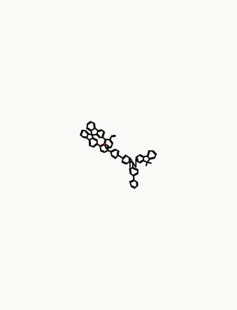 C=Cc1ccccc1-c1ccc2c(c1)C1(c3ccccc3-c3ccc(-c4ccc(-c5ccc(-c6ccc(N(c7ccc(-c8ccccc8)cc7)c7ccc8c(c7)C(C)(C)c7ccccc7-8)cc6)cc5)cc4)cc31)c1ccccc1-2